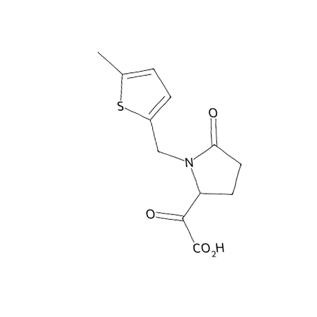 Cc1ccc(CN2C(=O)CCC2C(=O)C(=O)O)s1